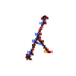 O=C(CCOCCOCCNC(=O)CCN1C(=O)C=CC1=O)NCCN(CCNC(=O)CCOCCOCCNC(=O)CCN1C(=O)C=CC1=O)C(=O)COCC(=O)NCCCCCCOPO